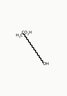 CC(CCCCCCCCCCCCCCCCCCCCCCO)C(=O)O